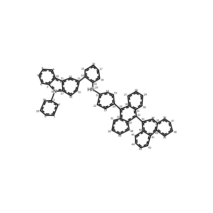 c1ccc(-n2c3ccccc3c3cc(-c4ccccc4Nc4ccc(-c5c6ccccc6c(-c6cc7ccccc7c7ccccc67)c6ccccc56)cc4)ccc32)cc1